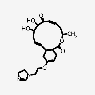 CC1C/C=C\C(=O)C(O)C(O)C/C=C/C2CC(OCCN3C=NCC3)=CCC2C(=O)O1